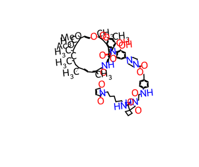 CO[C@H]1/C=C/O[C@@]2(C)Oc3c(C)c(O)c4c(=O)c(c5oc6cc(N7CCN(C(=O)OCc8ccc(NC(=O)CNC(=O)C9(C(=O)NCCCCCN%10C(=O)C=CC%10=O)CCC9)cc8)CC7)cc(O)c6nc-5c4c3C2=O)NC(=O)/C(C)=C\C=C\[C@H](C)C[C@@H](C)C[C@@H](C)[C@H](OC(C)=O)[C@@H]1C